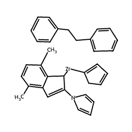 Cc1ccc(C)c2c1C=C(n1cccc1)[CH]2[Zr][C]1=CC=CC1.c1ccc(CCc2ccccc2)cc1